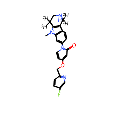 [2H]C1([2H])CNC([2H])([2H])c2c1n(C)c1cc(-n3ccc(OCc4ccc(F)cn4)cc3=O)ccc21